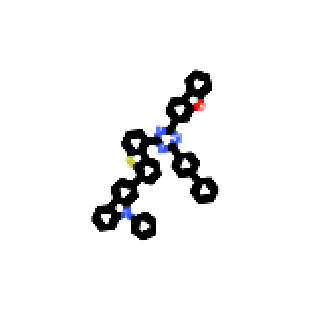 c1ccc(-c2ccc(-c3nc(-c4ccc5c(c4)oc4ccccc45)nc(-c4cccc5sc6c(-c7ccc8c9ccccc9n(-c9ccccc9)c8c7)cccc6c45)n3)cc2)cc1